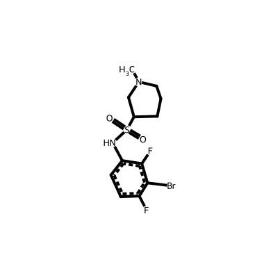 CN1CCCC(S(=O)(=O)Nc2ccc(F)c(Br)c2F)C1